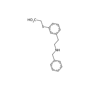 O=C(O)CSc1cccc(CCNCc2ccccc2)c1